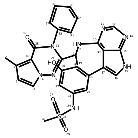 Cc1ccn2nc(C(C)Nc3ncnc4[nH]cc(-c5cc(O)cc(NS(C)(=O)=O)c5)c34)n(-c3ccccc3)c(=O)c12